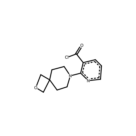 O=C(Cl)c1cccnc1N1CCC2(CC1)COC2